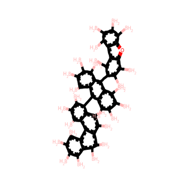 Bc1c(B)c(B)c2c(oc3c(B)c(B)c(-c4c5c(B)c(B)c(B)c(B)c5c(-c5c(B)c(B)c(B)c6c5c(B)c(B)c5c(B)c(B)c7c(B)c(B)c(B)c(B)c7c56)c5c(B)c(B)c(B)c(B)c45)c(B)c32)c1B